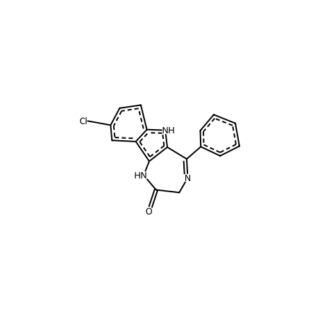 O=C1CN=C(c2ccccc2)c2[nH]c3ccc(Cl)cc3c2N1